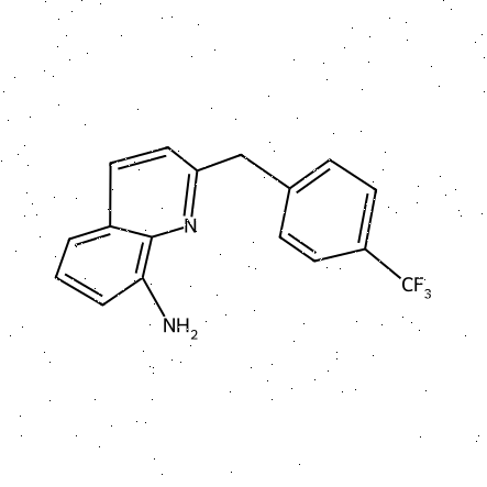 Nc1cccc2ccc(Cc3ccc(C(F)(F)F)cc3)nc12